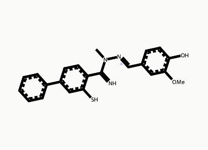 COc1cc(/C=N/N(C)C(=N)c2ccc(-c3ccccc3)cc2S)ccc1O